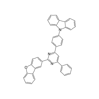 c1ccc(-c2cc(-c3ccc(-n4c5ccccc5c5ccccc54)cc3)nc(-c3ccc4oc5ccccc5c4c3)n2)cc1